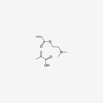 C=C(C)C(=O)O.C=CC(=O)OCCN(C)C